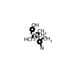 CCc1cc(C#N)ccc1/N=C1\SC[C@H](Cc2ccc(O)cc2)N1CC(C)C.Cl